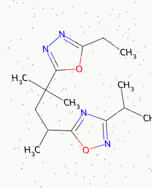 CCc1nnc(C(C)(C)CC(C)c2nc(C(C)C)no2)o1